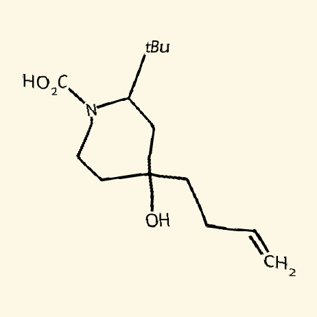 C=CCCC1(O)CCN(C(=O)O)C(C(C)(C)C)C1